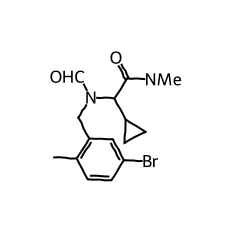 CNC(=O)C(C1CC1)N(C=O)Cc1cc(Br)ccc1C